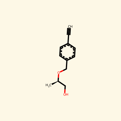 C#Cc1ccc(CO[C@H](C)CO)cc1